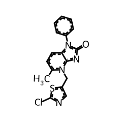 Cc1ccc2n(-c3ccccc3)c(=O)nc-2n1Cc1cnc(Cl)s1